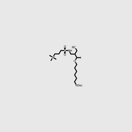 CCCCCCCCCCCCCCCCOC(I)C(CC#N)CNS(=O)(=O)CCC[N+](C)(C)C